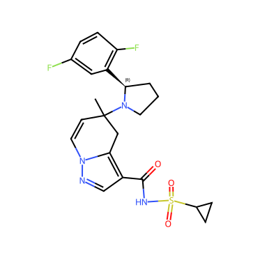 CC1(N2CCC[C@@H]2c2cc(F)ccc2F)C=Cn2ncc(C(=O)NS(=O)(=O)C3CC3)c2C1